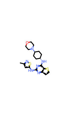 Cc1cc(Nc2nc(N[C@H]3CC[C@H](N4CCOCC4)CC3)c3sccc3n2)sn1